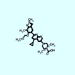 COCOc1c(-c2cc(C3CC3)c3cc(N4C[C@@H](C)N(C(=O)O)[C@@H](C)C4)cnc3n2)cc2cn(C)nc2c1C